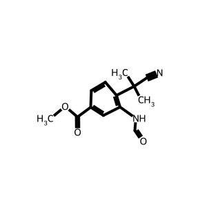 COC(=O)c1ccc(C(C)(C)C#N)c(NC=O)c1